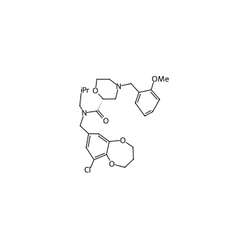 COc1ccccc1CN1CCO[C@@H](C(=O)N(Cc2cc(Cl)c3c(c2)OCCCO3)CC(C)C)C1